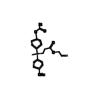 C=CCOC(=O)CCC(C)(c1ccc(OC(C)=O)cc1)c1ccc(OC(=O)CC)cc1